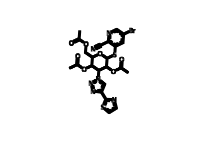 CC(=O)OCC1OC(Sc2cc(Br)cnc2C#N)C(OC(C)=O)C(n2cc(-c3nccs3)nn2)C1OC(C)=O